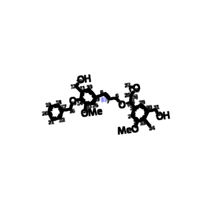 COc1cc([C@H](OC/C=C/c2cc(CO)c(OCc3ccccc3)c(OC)c2)[C@@H]2CO2)cc(CO)c1C